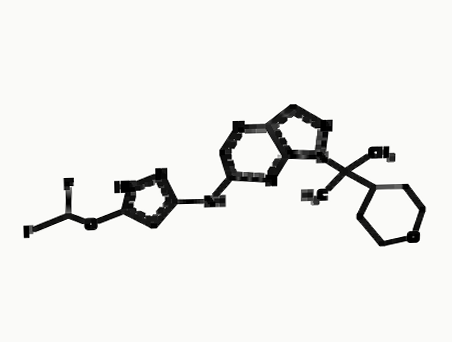 CC(C)(C1CCOCC1)n1ncc2ncc(Nc3cc(OC(F)F)[nH]n3)nc21